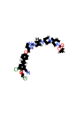 CC(C)(C)OC(=O)N1CCC(CN2CCC(N3CC4CN(c5nccc(COc6ccc(C(C)(C)c7cc(Cl)c(OCCCl)c(C#N)c7)cc6)n5)C[C@H]4C3)CC2)CC1